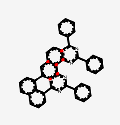 c1ccc(-c2nc(-c3ccccc3)nc(-c3ccc(-c4cccc5cccc(-c6nc(-c7ccccc7)nc(-c7ccccc7)n6)c45)cc3)n2)cc1